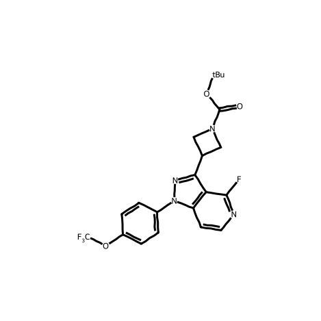 CC(C)(C)OC(=O)N1CC(c2nn(-c3ccc(OC(F)(F)F)cc3)c3ccnc(F)c23)C1